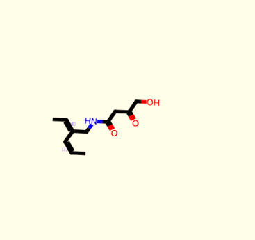 C/C=C\C(=C/C)CNC(=O)CC(=O)CO